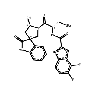 CC(C)(C)C[C@H](NC(=O)c1cc2c(F)c(F)ccc2[nH]1)C(=O)N1C[C@]2(C[C@H]1C#N)C(=O)Nc1ccccc12